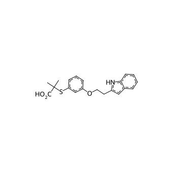 CC(C)(Sc1cccc(OCCc2cc3ccccc3[nH]2)c1)C(=O)O